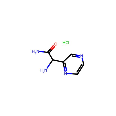 Cl.NC(=O)C(N)c1cnccn1